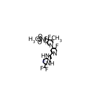 C[C@H]1CN(c2cc(-c3cnc(/C=C\C(=N)C(F)F)[nH]3)ncc2F)C[C@@H](CNS(C)(=O)=O)C1(F)F